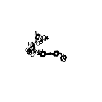 CC(C)(C)OC(=O)N1C[C@@H](F)C[C@H]1C(=O)N[C@@H]1C[C@H](C(=O)NCc2ccc(C#Cc3ccc(CN4CCOCC4)cc3)cc2)N(S(C)(=O)=O)C1